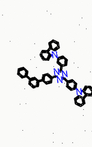 c1ccc(-c2cccc(-c3ccc(-c4nc(-c5ccc(-n6c7ccccc7c7ccccc76)cc5)nc(-c5cccc(-n6c7ccccc7c7ccccc76)c5)n4)cc3)c2)cc1